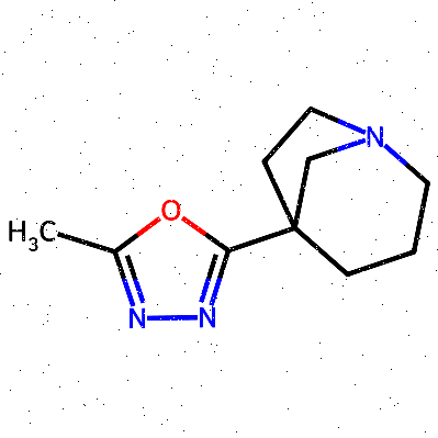 Cc1nnc(C23CCCN(CC2)C3)o1